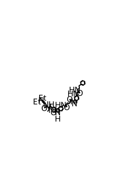 CCN(CC)CCNC(=O)c1c(C)[nH]c(/C=C2\C(=O)Nc3ccc(NC(=O)/C=C/C(=O)n4ncc5ccc(NC(=O)NCCc6ccccc6)cc54)cc32)c1C